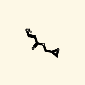 C/C=C/C(=O)OCC1CO1